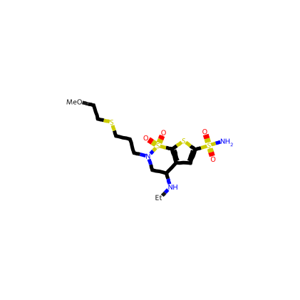 CCNC1CN(CCCSCCOC)S(=O)(=O)c2sc(S(N)(=O)=O)cc21